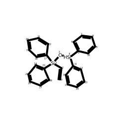 C=C[Si](O[SiH](c1ccccc1)c1ccccc1)(c1ccccc1)c1ccccc1